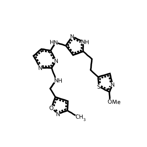 COc1ncc(CCc2cc(Nc3ccnc(NCc4cc(C)no4)n3)n[nH]2)s1